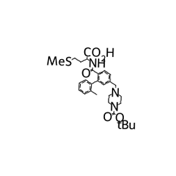 CSCCC(NC(=O)c1ccc(CN2CCN(C(=O)OC(C)(C)C)CC2)cc1-c1ccccc1C)C(=O)O